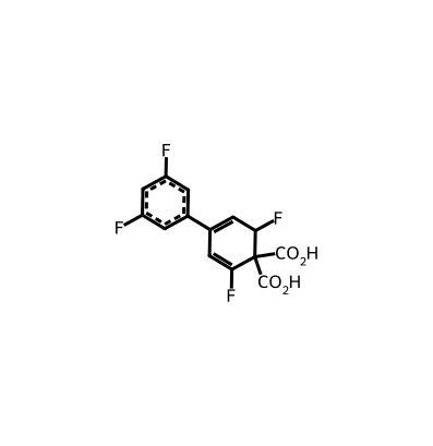 O=C(O)C1(C(=O)O)C(F)=CC(c2cc(F)cc(F)c2)=CC1F